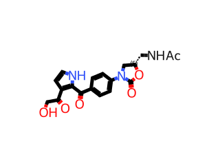 CC(=O)NC[C@H]1CN(c2ccc(C(=O)c3[nH]ccc3C(=O)CO)cc2)C(=O)O1